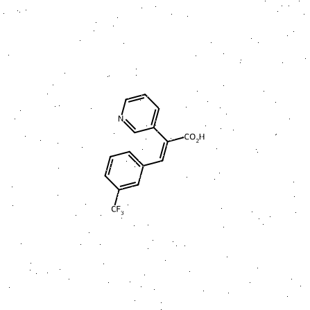 O=C(O)/C(=C/c1cccc(C(F)(F)F)c1)c1cccnc1